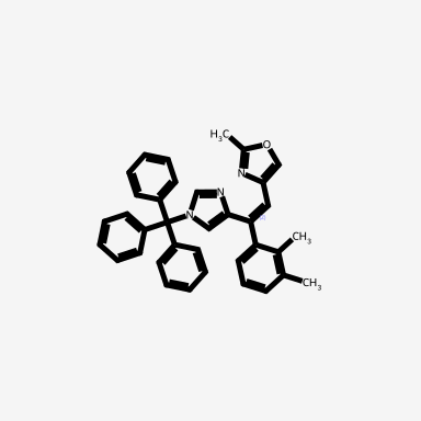 Cc1nc(/C=C(\c2cn(C(c3ccccc3)(c3ccccc3)c3ccccc3)cn2)c2cccc(C)c2C)co1